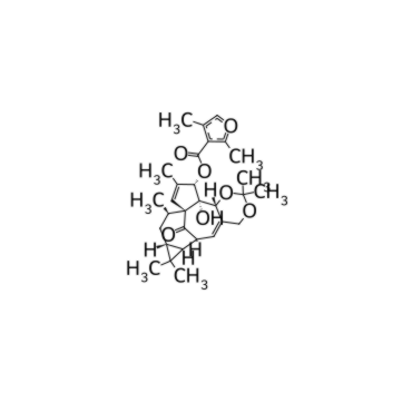 CC1=C[C@]23C(=O)[C@@H](C=C4COC(C)(C)O[C@H]4[C@]2(O)[C@H]1OC(=O)c1c(C)coc1C)[C@H]1[C@@H](C[C@H]3C)C1(C)C